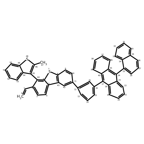 C=Cc1ccc2c(sc3ccc(-c4cccc(-c5c6ccccc6c(-c6cccc7ccccc67)c6ccccc56)c4)cc32)c1-c1c(C)sc2ccccc12